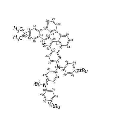 CCC(C)N(c1ccc(N(c2ccc(-c3sc(-c4ccc5c(c4)C5(C)C)c(-c4ccccc4)c3-c3ccccc3)cc2)c2ccc(C(C)(C)C)cc2)cc1)c1ccc(C(C)(C)C)cc1